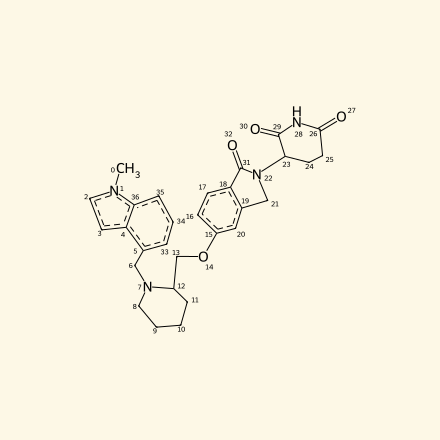 Cn1ccc2c(CN3CCCCC3COc3ccc4c(c3)CN(C3CCC(=O)NC3=O)C4=O)cccc21